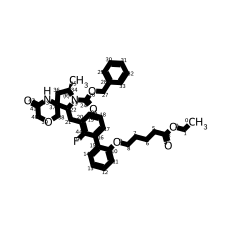 CCOC(=O)CCCCOc1ccccc1-c1cccc(CC2N(C(=O)OCc3ccccc3)[C@H](C)CC23COCC(=O)N3)c1F